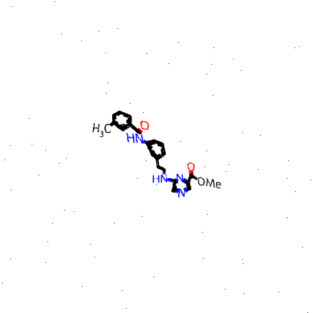 COC(=O)c1cncc(NCCc2cccc(NC(=O)c3cccc(C)c3)c2)n1